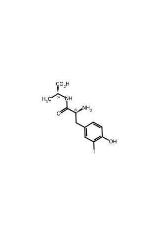 C[C@H](NC(=O)[C@@H](N)Cc1ccc(O)c(I)c1)C(=O)O